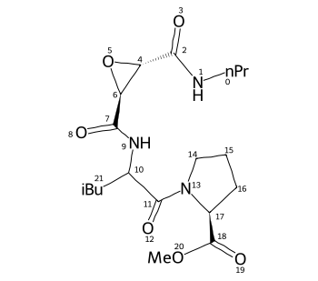 CCCNC(=O)[C@H]1O[C@@H]1C(=O)NC(C(=O)N1CCC[C@H]1C(=O)OC)C(C)CC